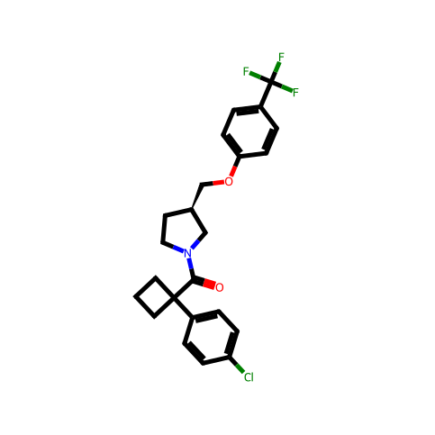 O=C(N1CC[C@@H](COc2ccc(C(F)(F)F)cc2)C1)C1(c2ccc(Cl)cc2)CCC1